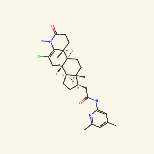 Cc1cc(C)nc(NC(=O)C[C@H]2CC[C@H]3[C@@H]4CC(Cl)=C5N(C)C(=O)CC[C@]5(C)[C@H]4CC[C@]23C)c1